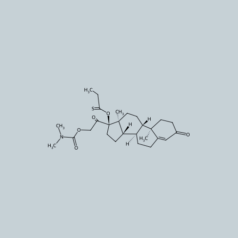 CCC(=S)O[C@]1(C(=O)COC(=O)N(C)C)CC[C@H]2[C@@H]3CCC4=CC(=O)CC[C@]4(C)[C@H]3CC[C@@]21C